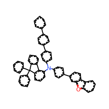 c1ccc(-c2ccc(-c3ccc(N(c4ccc(-c5ccc6c(c5)oc5ccccc56)cc4)c4cccc5c4-c4ccccc4C5(c4ccccc4)c4ccccc4)cc3)cc2)cc1